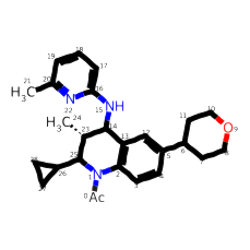 CC(=O)N1c2ccc(C3CCOCC3)cc2C(Nc2cccc(C)n2)[C@@H](C)C1C1CC1